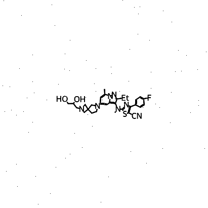 CCc1nn2c(C)cc(N3CCC4(CN(CC(O)CO)C4)C3)cc2c1N(C)c1nc(-c2ccc(F)cc2)c(C#N)s1